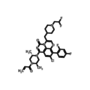 C=CC(=O)N1C[C@H](C)N(c2nc(=O)n3c4c(c(-c5ccc(F)cc5F)c(Cl)cc24)OC=C3CC2CCN(CC(F)F)CC2)C[C@H]1C